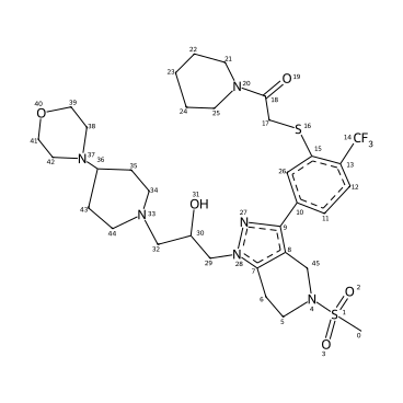 CS(=O)(=O)N1CCc2c(c(-c3ccc(C(F)(F)F)c(SCC(=O)N4CCCCC4)c3)nn2CC(O)CN2CCC(N3CCOCC3)CC2)C1